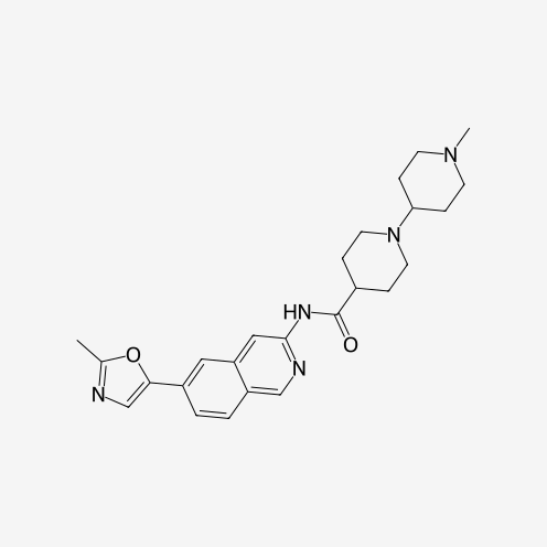 Cc1ncc(-c2ccc3cnc(NC(=O)C4CCN(C5CCN(C)CC5)CC4)cc3c2)o1